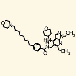 CCc1nc2c(cnn2CC)c(NC2CCOCC2)c1CNC(=O)c1ccc(CCCCCCCCN2CCOCC2)cc1